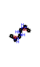 O=C(Nc1ccc2[nH]c(-c3cc4cc(NC(=O)C5CCCN5C(=O)Cc5ccccc5)ccc4[nH]3)cc2c1)C1CCCN1C(=O)Cc1ccccc1